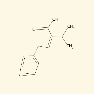 CC(C)C(=CCc1ccccc1)C(=O)O